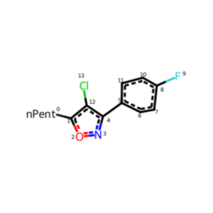 C[CH]CCCc1onc(-c2ccc(F)cc2)c1Cl